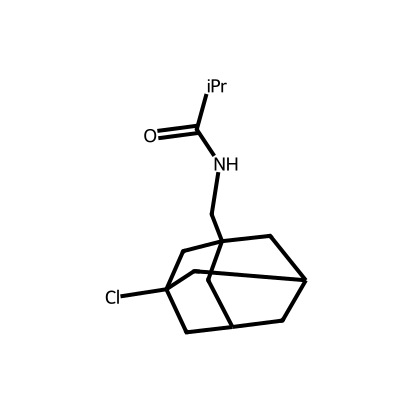 CC(C)C(=O)NCC12CC3CC(CC(Cl)(C3)C1)C2